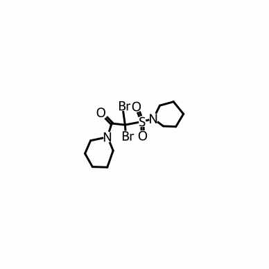 O=C(N1CCCCC1)C(Br)(Br)S(=O)(=O)N1CCCCC1